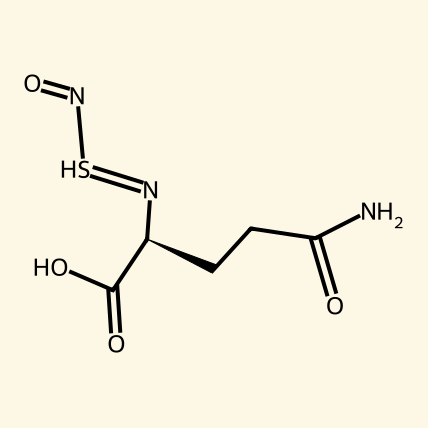 NC(=O)CC[C@H](N=[SH]N=O)C(=O)O